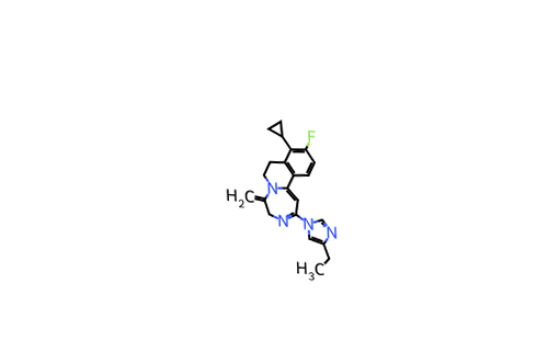 C=C1CN=C(n2cnc(CC)c2)C=C2c3ccc(F)c(C4CC4)c3CCN12